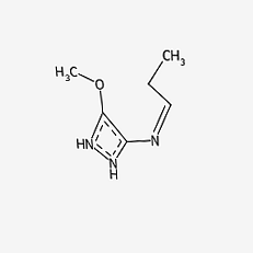 CC/C=N\c1[nH][nH]c1OC